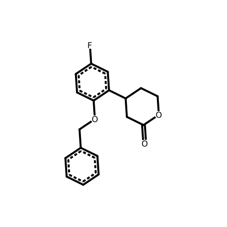 O=C1CC(c2cc(F)ccc2OCc2ccccc2)CCO1